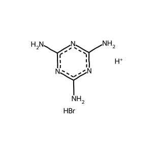 Br.Nc1nc(N)nc(N)n1.[H+]